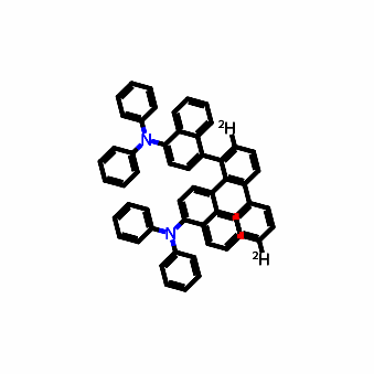 [2H]c1ccc(-c2ccc([2H])c(-c3ccc(N(c4ccccc4)c4ccccc4)c4ccccc34)c2-c2ccc(N(c3ccccc3)c3ccccc3)c3ccccc23)cc1